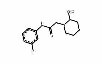 O=CC1CCCCN1CC(=O)Nc1cccc(Cl)c1